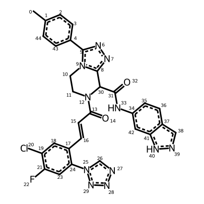 Cc1ccc(-c2nnc3n2CCN(C(=O)C=Cc2cc(Cl)c(F)cc2-n2cnnn2)C3C(=O)Nc2ccc3cn[nH]c3c2)cc1